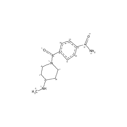 CNC1CCN(C(=O)c2ccc(C(N)=O)cc2)CC1